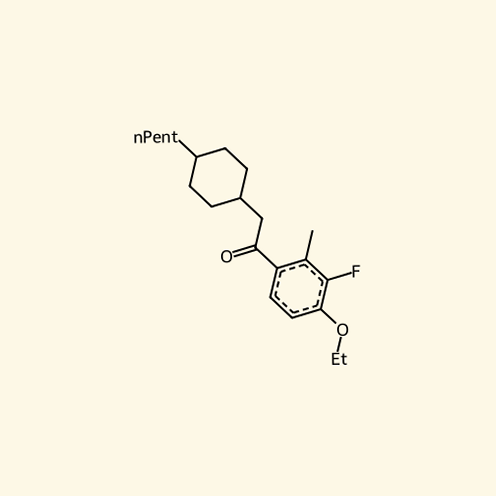 CCCCCC1CCC(CC(=O)c2ccc(OCC)c(F)c2C)CC1